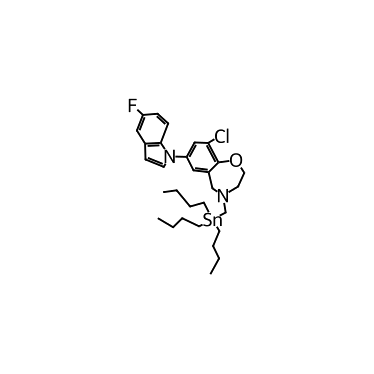 CCC[CH2][Sn]([CH2]CCC)([CH2]CCC)[CH2]N1CCOc2c(Cl)cc(-n3ccc4cc(F)ccc43)cc2C1